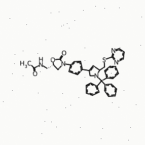 CC(=O)NC[C@H]1CN(c2ccc(C3=CC(CSc4ncccn4)N(C(c4ccccc4)(c4ccccc4)c4ccccc4)C3)cc2)C(=O)O1